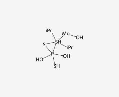 CC(C)[SH]1([Mo][OH])(C(C)C)SP1(O)(O)S